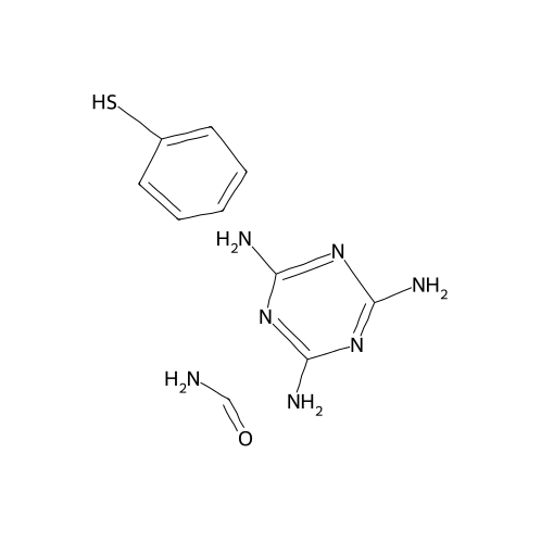 NC=O.Nc1nc(N)nc(N)n1.Sc1ccccc1